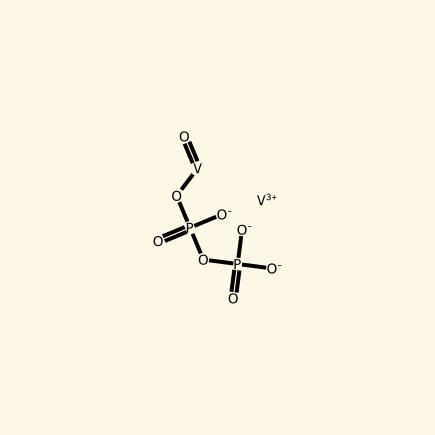 [O]=[V][O]P(=O)([O-])OP(=O)([O-])[O-].[V+3]